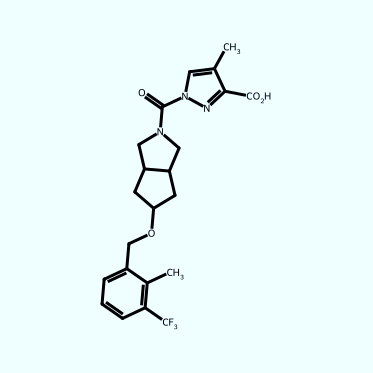 Cc1cn(C(=O)N2CC3CC(OCc4cccc(C(F)(F)F)c4C)CC3C2)nc1C(=O)O